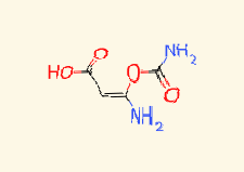 NC(=O)OC(N)=CC(=O)O